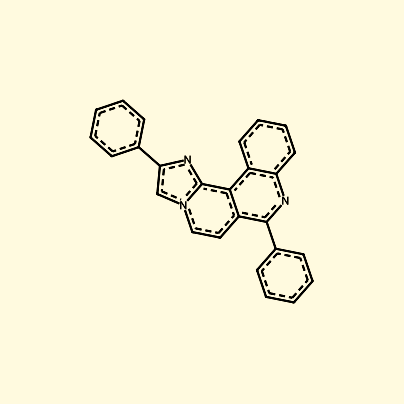 c1ccc(-c2cn3ccc4c(-c5ccccc5)nc5ccccc5c4c3n2)cc1